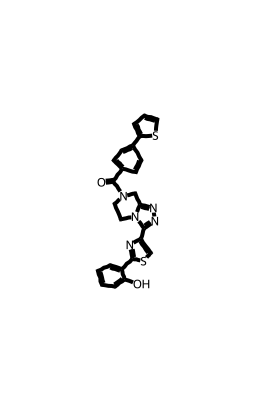 O=C(c1ccc(-c2cccs2)cc1)N1CCn2c(nnc2-c2csc(-c3ccccc3O)n2)C1